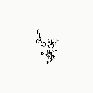 CC(C)c1cnc2c(NC3CCN(C(=O)O)C(C4CCN(C(=O)/C=C/CN(C)C)C4)C3)nc(C3CC3)nn12